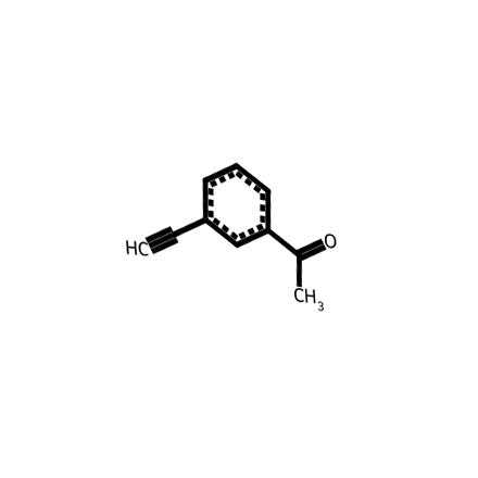 C#Cc1cccc(C(C)=O)c1